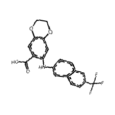 O=C(O)c1cc2c(cc1Nc1ccc3cc(C(F)(F)F)ccc3c1)OCCO2